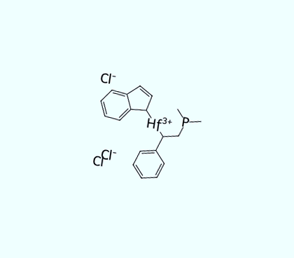 CP(C)C[CH]([Hf+3][CH]1C=Cc2ccccc21)c1ccccc1.[Cl-].[Cl-].[Cl-]